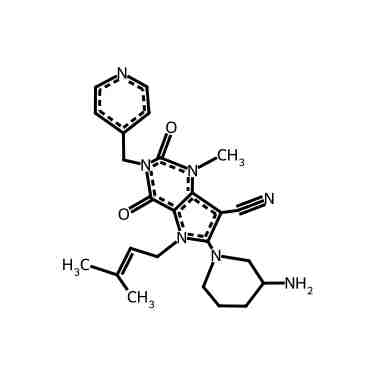 CC(C)=CCn1c(N2CCCC(N)C2)c(C#N)c2c1c(=O)n(Cc1ccncc1)c(=O)n2C